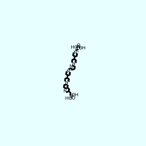 O=P(O)(O)CCc1cnc2ccc(-[n+]3ccc(-c4cc[n+](Cc5cccc(-[n+]6ccc(-c7cc[n+](CCP(=O)(O)O)cc7)cc6)n5)cc4)cc3)cc2c1